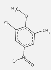 COc1c(C)cc([N+](=O)[O-])cc1Cl